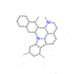 Cc1cc(C)c2c3ccc4cc[n+](C)c5c6c(C)c7ccccc7cc6n(c2c1)c3c45